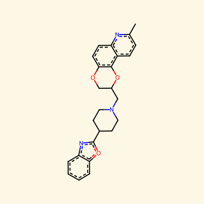 Cc1ccc2c3c(ccc2n1)OCC(CN1CCC(c2nc4ccccc4o2)CC1)O3